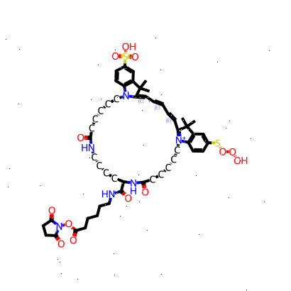 CC1(C)C2=[N+](CCCCCC(=O)NC(C(=O)NCCCCCC(=O)ON3C(=O)CCC3=O)CCCCNC(=O)CCCCCN3/C(=C/C=C/C=C/2)C(C)(C)c2cc(S(=O)(=O)O)ccc23)c2ccc(SOOO)cc21